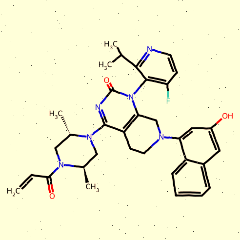 C=CC(=O)N1C[C@H](C)N(c2nc(=O)n(-c3c(F)ccnc3C(C)C)c3c2CCN(c2cc(O)cc4ccccc24)C3)C[C@H]1C